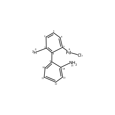 [2H]c1ccc[c]([Pd][Cl])c1-c1ccccc1N